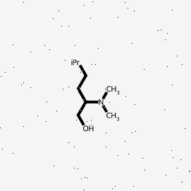 CC(C)CCC(CO)N(C)C